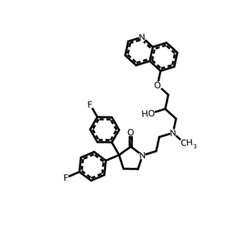 CN(CCN1CCC(c2ccc(F)cc2)(c2ccc(F)cc2)C1=O)CC(O)COc1cccc2ncccc12